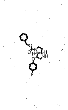 O=C(OCc1ccccc1)N1CC[C@H]2NC[C@H](Oc3ccc(F)cc3)[C@H]21